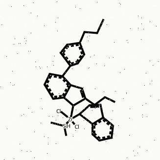 CCCC1=Cc2c(-c3ccc(CCC)cc3)cccc2[CH]1[Zr]([Cl])([Cl])([CH]1C=Cc2ccccc21)[SiH](C)C